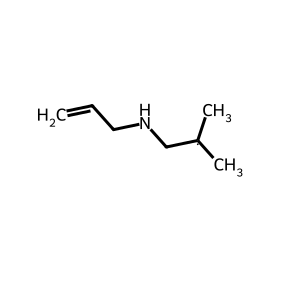 C=CCNC[C](C)C